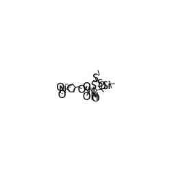 CCSC(=S)S[C@@H]1[C@@H](C(C)O[Si](C)(C)C(C)(C)C)C(=O)N1C(O)C(=O)OCc1ccc([N+](=O)[O-])cc1